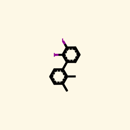 Cc1cccc(-c2cccc(I)c2I)c1C